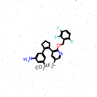 Nc1cc(C(=O)O)cc(C2=C(c3cc(C(F)(F)F)cnc3OCc3c(F)ccc(F)c3F)CCC2)c1